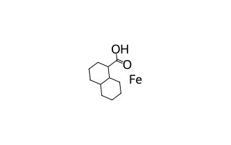 O=C(O)C1CCCC2CCCCC21.[Fe]